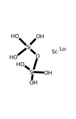 O[Si](O)(O)O[Si](O)(O)O.[Lu].[Sc]